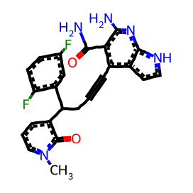 Cn1cccc(C(CC#Cc2c(C(N)=O)c(N)nc3[nH]ccc23)c2cc(F)ccc2F)c1=O